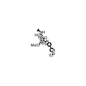 CCOc1ccc(-c2ccc3nc(C(C(=O)NCC(O)NC4CC4)S(=O)(=O)CCOC)sc3c2)cn1